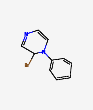 BrC1C=NC=CN1c1ccccc1